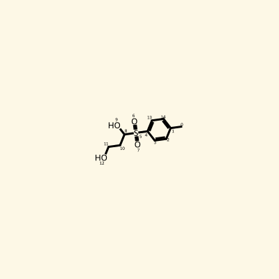 Cc1ccc(S(=O)(=O)C(O)CCO)cc1